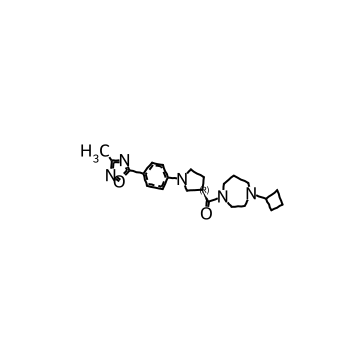 Cc1noc(-c2ccc(N3CC[C@@H](C(=O)N4CCCN(C5CCC5)CC4)C3)cc2)n1